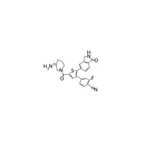 N#Cc1ccc(-c2cc(C(=O)N3CCC[C@@H](N)C3)sc2-c2ccc3c(c2)CNC3=O)cc1F